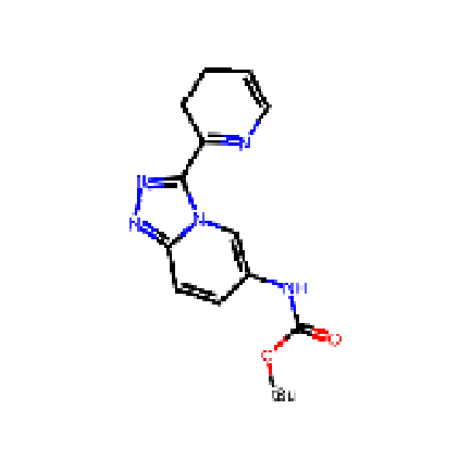 CC(C)(C)OC(=O)Nc1ccc2nnc(C3=NC=CCC3)n2c1